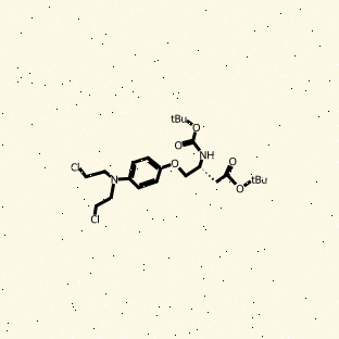 CC(C)(C)OC(=O)C[C@H](COc1ccc(N(CCCl)CCCl)cc1)NC(=O)OC(C)(C)C